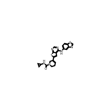 O=C(NC1CC1)N1CCC=C(c2cc3c(Nc4ccc5scnc5c4)ncnc3s2)C1